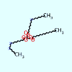 CCCCC/C=C\C/C=C\CCCCCCCC(=O)OC(COC(=O)CCCCCCC/C=C\CCCCCCCC)COC(=O)CCCCCCCCCCCCCCC